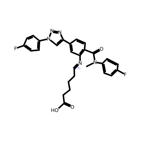 CN(C(=O)c1ccc(-c2cn(-c3ccc(F)cc3)nn2)cc1/N=C/CCCCC(=O)O)c1ccc(F)cc1